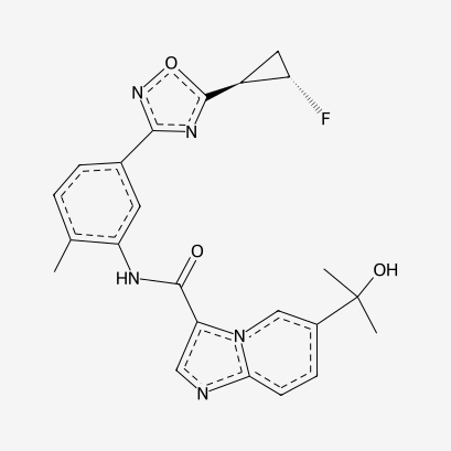 Cc1ccc(-c2noc([C@H]3C[C@@H]3F)n2)cc1NC(=O)c1cnc2ccc(C(C)(C)O)cn12